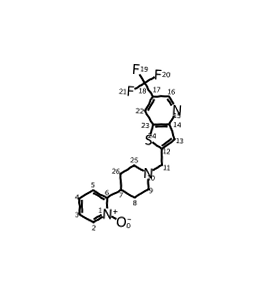 [O-][n+]1ccccc1C1CCN(Cc2cc3ncc(C(F)(F)F)cc3s2)CC1